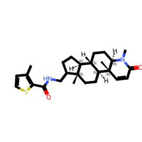 Cc1ccsc1C(=O)NCC1CC[C@H]2[C@@H]3CC[C@H]4N(C)C(=O)C=C[C@]4(C)[C@H]3CC[C@]12C